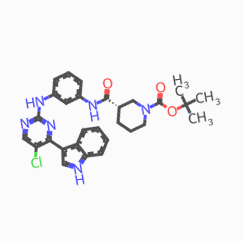 CC(C)(C)OC(=O)N1CCC[C@H](C(=O)Nc2cccc(Nc3ncc(Cl)c(-c4c[nH]c5ccccc45)n3)c2)C1